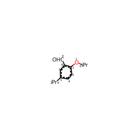 CC(C)Oc1ccc(C(C)C)cc1C=O